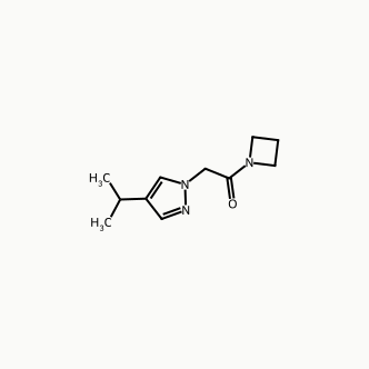 CC(C)c1cnn(CC(=O)N2CCC2)c1